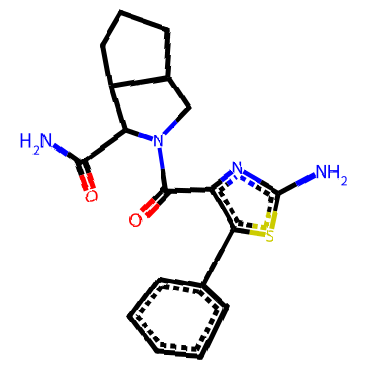 NC(=O)C1C2CCCC2CN1C(=O)c1nc(N)sc1-c1ccccc1